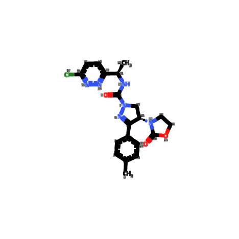 Cc1ccc(C2=NN(C(=O)N[C@H](C)c3ccc(Cl)nn3)C[C@@H]2N2CCOC2=O)cc1